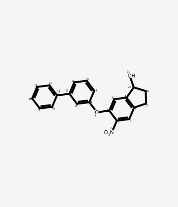 O=[N+]([O-])c1cc2c(cc1Oc1cccc(-c3ccccc3)c1)C(O)CC2